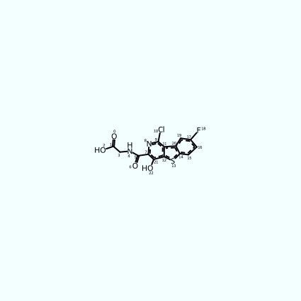 O=C(O)CNC(=O)c1nc(Cl)c2c(sc3ccc(F)cc32)c1O